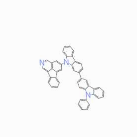 c1ccc(-n2c3ccccc3c3cc(-c4ccc5c6ccccc6n(-c6cc7c8c(cncc8c6)-c6ccccc6-7)c5c4)ccc32)cc1